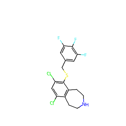 Fc1cc(CSc2c(Cl)cc(Cl)c3c2CCNCC3)cc(F)c1F